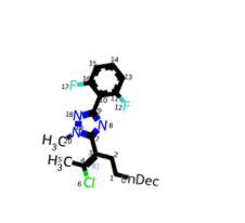 CCCCCCCCCCCC/C(=C(/C)Cl)c1nc(-c2c(F)cccc2F)nn1C